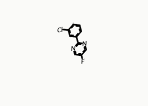 Fc1cnc(-c2cc[c]c(Cl)c2)nc1